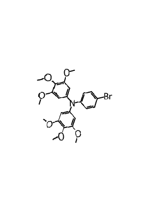 COc1cc(N(c2ccc(Br)cc2)c2cc(OC)c(OC)c(OC)c2)cc(OC)c1OC